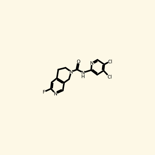 O=C(Nc1cc(Cl)c(Cl)cn1)N1CCc2cc(F)ncc2C1